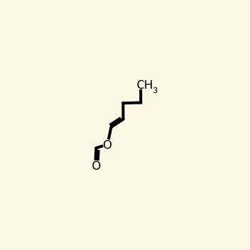 CCCC=COC=O